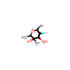 CC(=O)C1(O)C(C)OC(C(C)C)C(F)C1O